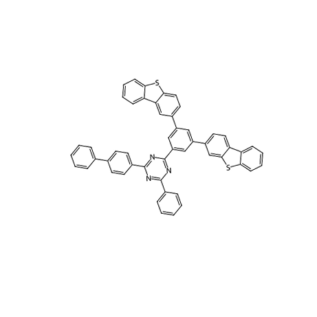 c1ccc(-c2ccc(-c3nc(-c4ccccc4)nc(-c4cc(-c5ccc6c(c5)sc5ccccc56)cc(-c5ccc6sc7ccccc7c6c5)c4)n3)cc2)cc1